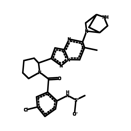 Cc1cn2nc(C3CCCCN3C(=O)c3cc(Cl)ccc3N[S+](C)[O-])cc2nc1N1CC2CC1CN2